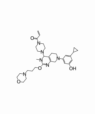 C=CC(=O)N1CCN(C2C3=C(CN(c4cc(O)cc(C5CC5)c4)CC3)N=C(OCCCN3CCOCC3)N2C)CC1